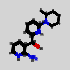 CC1CCCCN1c1cccc(C(=O)c2cccnc2N)n1